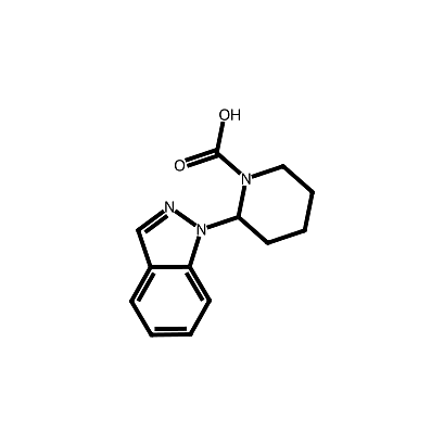 O=C(O)N1CCCCC1n1ncc2ccccc21